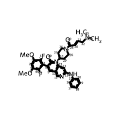 COc1cc(OC)c(F)c(-c2cc3cnc(Nc4ccccc4)cc3n(C3CCN(C(=O)/C=C/CN(C)C)CC3)c2=O)c1F